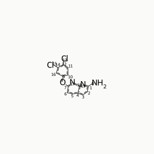 Nc1ccc2ccc(Oc3ccc(Cl)c(Cl)c3)nc2n1